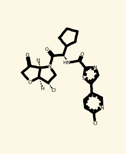 O=C(N[C@H](C(=O)N1C[C@H](Cl)[C@H]2OCC(=O)[C@H]21)C1CCCC1)c1ncc(-c2ccc(Cl)nc2)s1